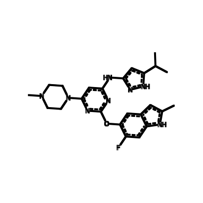 Cc1cc2cc(Oc3nc(Nc4cc(C(C)C)[nH]n4)cc(N4CCN(C)CC4)n3)c(F)cc2[nH]1